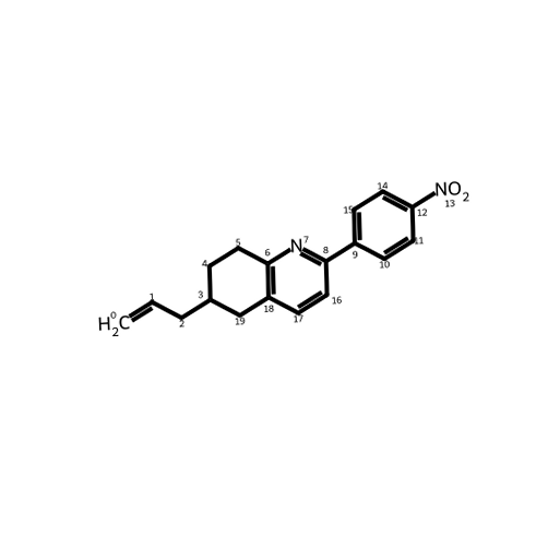 C=CCC1CCc2nc(-c3ccc([N+](=O)[O-])cc3)ccc2C1